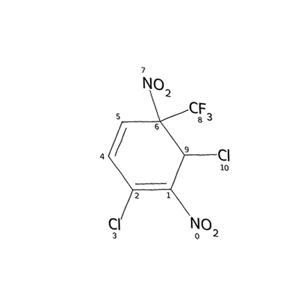 O=[N+]([O-])C1=C(Cl)C=CC([N+](=O)[O-])(C(F)(F)F)C1Cl